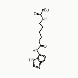 CCCCC(=O)NCCCCCC(=O)Nc1scc2nc[nH]c12